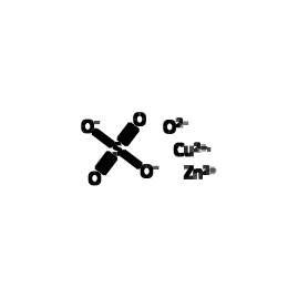 O=S(=O)([O-])[O-].[Cu+2].[O-2].[Zn+2]